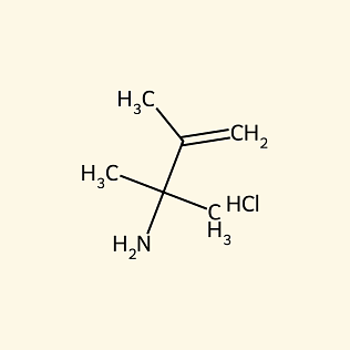 C=C(C)C(C)(C)N.Cl